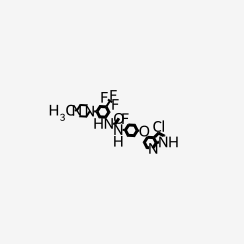 CN1CCN(c2cc(NC(=O)Nc3ccc(Oc4ccnc5[nH]cc(Cl)c45)cc3F)cc(C(F)(F)F)c2)CC1